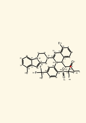 CCC(=O)CC1c2cccc(F)c2N=C(N2CCn3c(cc4c(F)cccc43)C2)N1c1cc(C(F)(F)F)ccc1S(=O)(=O)C(F)(F)F